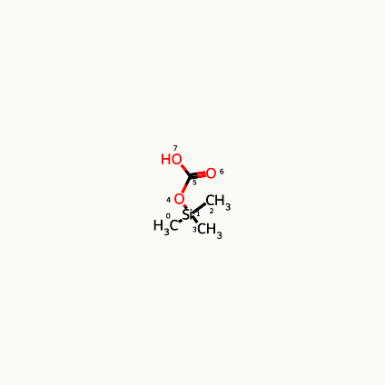 C[Si](C)(C)OC(=O)O